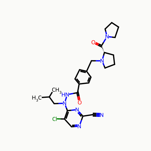 CC(C)CN(NC(=O)c1ccc(CN2CCC[C@H]2C(=O)N2CCCC2)cc1)c1nc(C#N)ncc1Cl